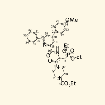 CCOC(=O)N1CCN(C(=O)C(CP(=O)(OCC)OCC)NC(=O)c2cc(-c3ccc(OC)cc3)cc(-c3ccccc3)n2)CC1